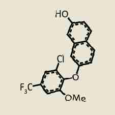 COc1cc(C(F)(F)F)cc(Cl)c1Oc1ccc2ccc(O)cc2c1